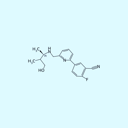 CC(CO)[C@@H](C)NCc1cccc(-c2ccc(F)c(C#N)c2)n1